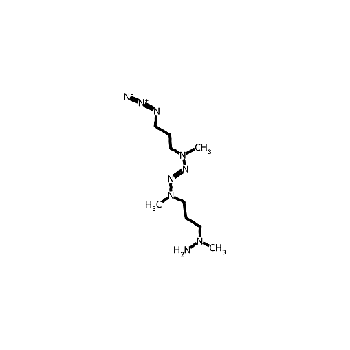 CN(N)CCCN(C)/N=N/N(C)CCCN=[N+]=[N-]